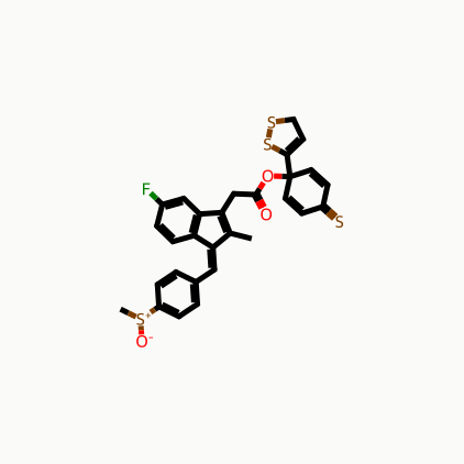 CC1=C(CC(=O)OC2(C3=CCSS3)C=CC(=S)C=C2)c2cc(F)ccc2/C1=C\c1ccc([S+](C)[O-])cc1